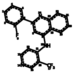 Fc1ccccc1-c1cc(Nc2ccncc2C(F)(F)F)c2ccccc2n1